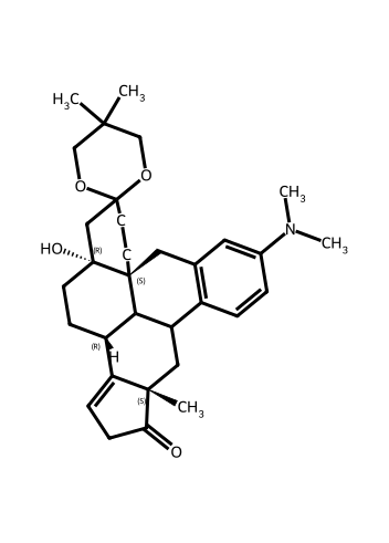 CN(C)c1ccc2c(c1)C[C@]13CCC4(C[C@]1(O)CC[C@H]1C5=CCC(=O)[C@@]5(C)CC2C13)OCC(C)(C)CO4